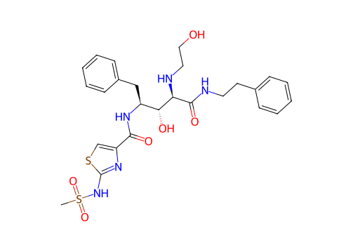 CS(=O)(=O)Nc1nc(C(=O)N[C@@H](Cc2ccccc2)[C@@H](O)[C@@H](NCCO)C(=O)NCCc2ccccc2)cs1